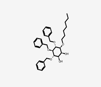 CCCCCCCO[C@H]1[C@@H](O)[C@@H](O)[C@H](OCc2ccccc2)[C@@H](OCc2ccccc2)[C@@H]1OCc1ccccc1